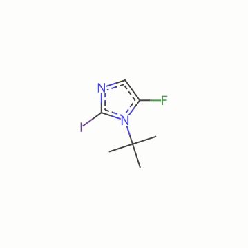 CC(C)(C)n1c(F)cnc1I